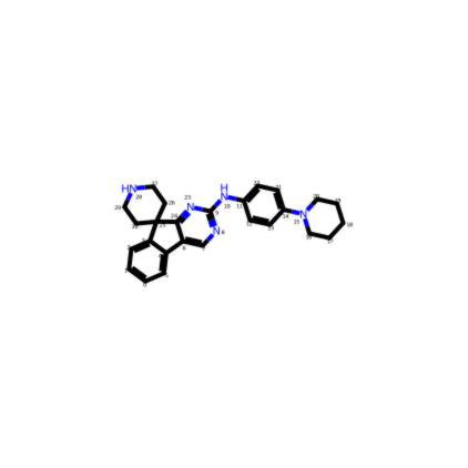 c1ccc2c(c1)-c1cnc(Nc3ccc(N4CCCCC4)cc3)nc1C21CCNCC1